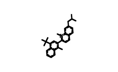 Cc1c(-c2ccc3ccc(CC(C)C)cc3[n+]2C)cc(C(C)(C)C)c2ccccc12